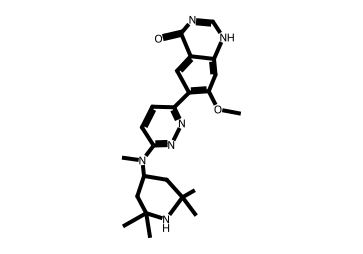 COc1cc2[nH]cnc(=O)c2cc1-c1ccc(N(C)C2CC(C)(C)NC(C)(C)C2)nn1